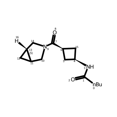 CCCCC(=O)N[C@H]1C[C@@H](C(=O)N2CC3C[C@@H]3C2)C1